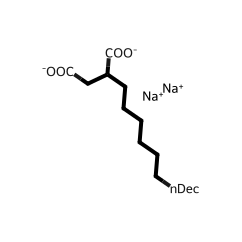 CCCCCCCCCCCCCCCCC(CC(=O)[O-])C(=O)[O-].[Na+].[Na+]